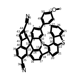 COc1ccc(-c2ccc3c(c2)-n2c4c(cccc4c4ccc5sc6ccccc6c5c42)C32c3cc(C#N)ccc3-c3ccc(C#N)cc32)cc1